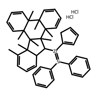 CC1=CC=CC2[CH]([Zr]([C]3=CC=CC3)=[Si](c3ccccc3)c3ccccc3)C3(C)C4(C)C=CC=CC4(C)C4(C)C=CC=CC4(C)C3(C)C12C.Cl.Cl